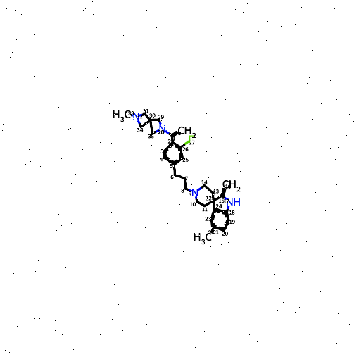 C=C(c1ccc(CCCN2CCC3(CC2)C(=C)Nc2ccc(C)cc23)cc1F)N1CC2(CN(C)C2)C1